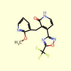 COc1ncccc1Cc1c(-c2noc(C(F)(F)F)n2)cc[nH]c1=O